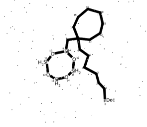 CCCCCCCCCCCCCCCCC1(C[SiH]2O[SiH2]O[SiH2]O[SiH2]O2)CCCCCCC1